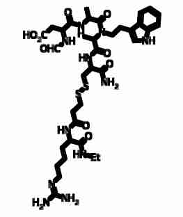 CCNC(=O)C(CCCCN=C(N)N)NC(=O)CCSSCC(NC(=O)C(C)N(CCc1c[nH]c2ccccc12)C(=O)C(C)NC(=O)C(CC(=O)O)NC=O)C(N)=O